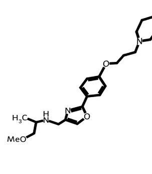 COCC(C)NCc1coc(-c2ccc(OCCCN3CCCCC3)cc2)n1